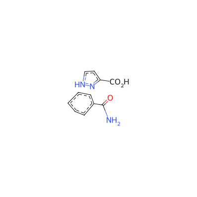 NC(=O)c1ccccc1.O=C(O)c1cc[nH]n1